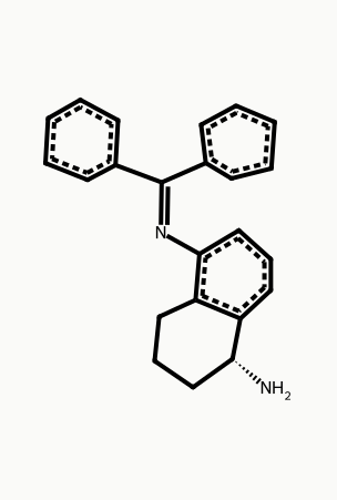 N[C@@H]1CCCc2c(N=C(c3ccccc3)c3ccccc3)cccc21